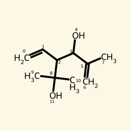 C=CC(C(O)C(=C)C)C(C)(C)O